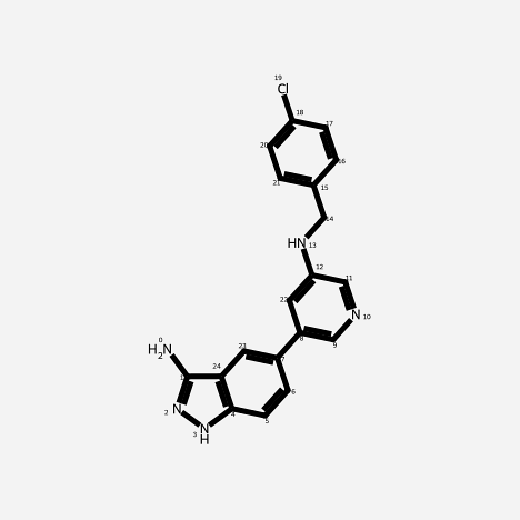 Nc1n[nH]c2ccc(-c3cncc(NCc4ccc(Cl)cc4)c3)cc12